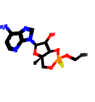 CC(=O)OCOP1(=S)OC[C@H]2O[C@@H](n3cnc4c(N)ccnc43)C(O)C2O1